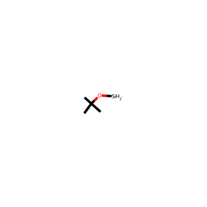 CC(C)(C)O[SiH2]